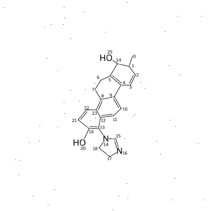 CC1C=CC2=C(CCc3c2ccc2c(N4C=NCC4)c(O)ccc32)C1O